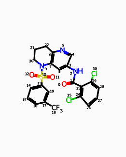 O=C(Nc1cnc2c(c1)N(S(=O)(=O)c1cccc(C(F)(F)F)c1)CCC2)c1c(Cl)cccc1Cl